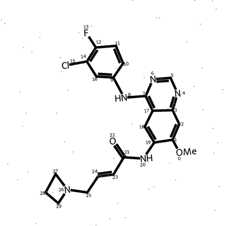 COc1cc2ncnc(Nc3ccc(F)c(Cl)c3)c2cc1NC(=O)C=CCN1CCC1